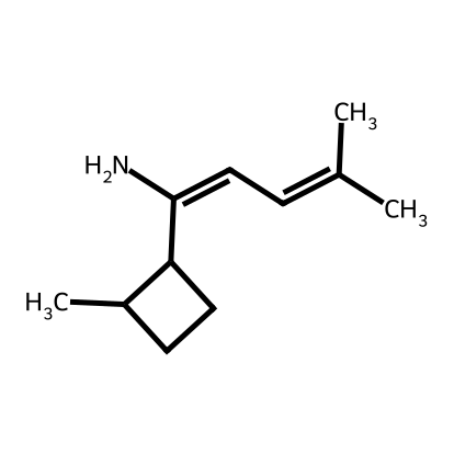 CC(C)=C/C=C(/N)C1CCC1C